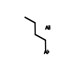 CCC[CH2][Al].[Al]